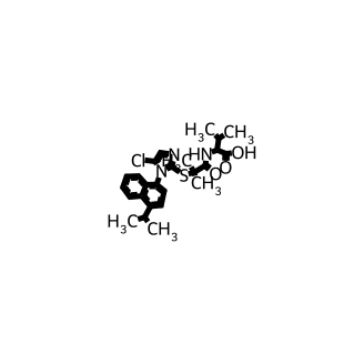 CC(C)c1ccc(-n2c(Cl)cnc2SC(C)(C)C(=O)NC(C(=O)O)C(C)C)c2ccccc12